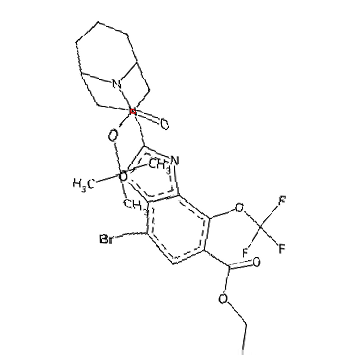 CCOC(=O)c1cc(Br)c2oc(N3CC4CCCC(C3)N4C(=O)OC(C)(C)C)nc2c1OC(F)(F)F